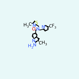 Cc1csc(CN(Cc2ccc(C(F)(F)F)cn2)C(=O)c2ccc3nc(N)c(C)cc3c2)n1